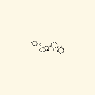 Cc1cccnc1[C@@H]1CCC[C@H](c2cn3c(Oc4ccncc4)cccc3n2)N1C